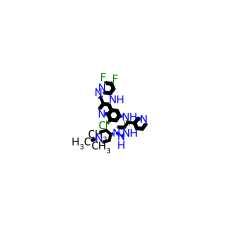 CC(C)(C)N1CCC(N2C=C([C@@H](Nc3cc(Cl)c4ncc(C#N)c(Nc5cnc(F)c(F)c5)c4c3)c3cccnc3)NN2)CC1